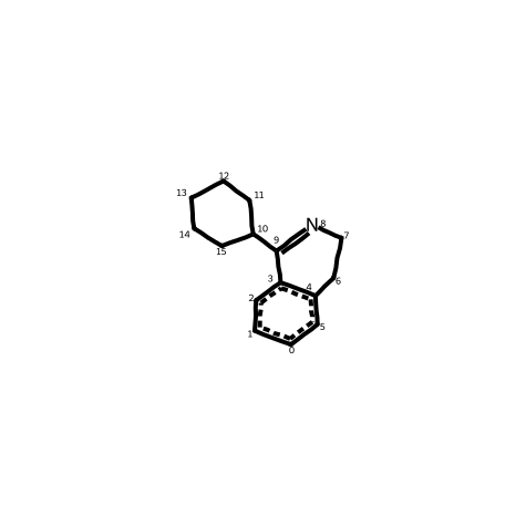 c1ccc2c(c1)CCN=C2C1CCCCC1